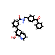 O=C(NCc1ccc(C(=O)c2ccccc2)cc1)c1cccc(-c2cc(O)c3ncccc3c2)c1